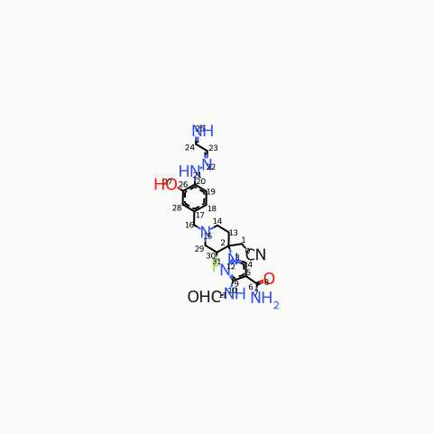 N#CCC1(n2cc(C(N)=O)c(NC=O)n2)CCN(Cc2ccc(N/N=C\C=N)c(O)c2)CC1F